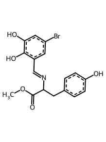 COC(=O)C(Cc1ccc(O)cc1)N=Cc1cc(Br)cc(O)c1O